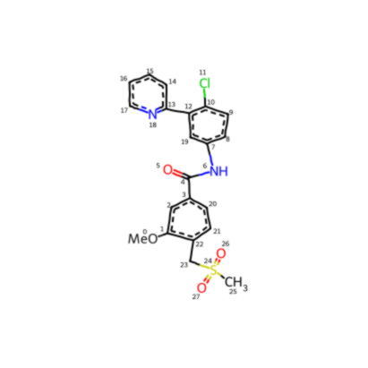 COc1cc(C(=O)Nc2ccc(Cl)c(-c3ccccn3)c2)ccc1CS(C)(=O)=O